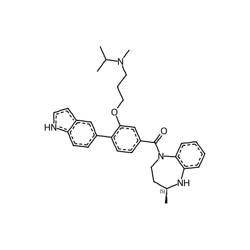 CC(C)N(C)CCCOc1cc(C(=O)N2CC[C@H](C)Nc3ccccc32)ccc1-c1ccc2[nH]ccc2c1